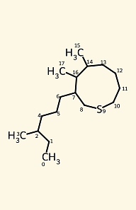 CCC(C)CCCC1CSCCCCC(C)C1C